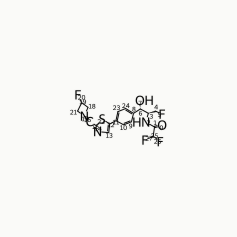 O=C(N[C@H](CF)[C@@H](O)c1ccc(-c2cnc(CN3CC(F)C3)s2)cc1)C(F)F